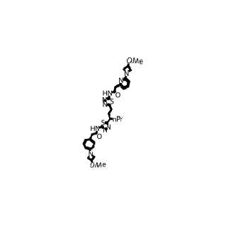 CCCC(CCc1nnc(NC(=O)Cc2cccc(N3CC(OC)C3)n2)s1)c1nnc(NC(=O)CC2=CCC(N3CC(OC)C3)=CC=C2)s1